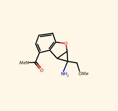 CNC(=O)c1cccc2c1C1C(O2)C1(N)COC